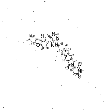 Nc1ncnc2c1c(-c1ccc(Oc3ccccc3)cc1)nn2C1CCN(Cc2cc3c(cc2F)C(=O)N([C@H]2CCC(=O)NC2=O)C3)CC1